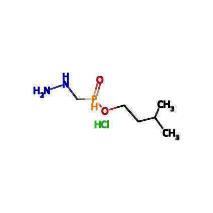 CC(C)CCO[PH](=O)CNN.Cl